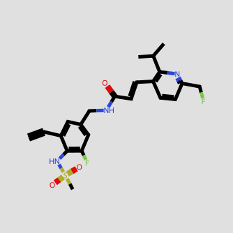 C#Cc1cc(CNC(=O)/C=C/c2ccc(CF)nc2C(C)C)cc(F)c1NS(C)(=O)=O